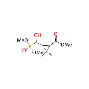 COC(=O)C1C(C(O)P(=O)(OC)OC)C1(C)C